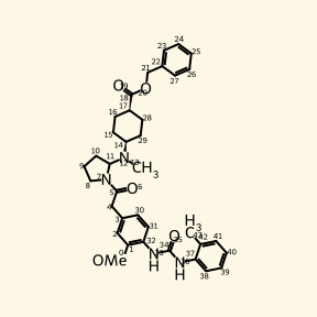 COc1cc(CC(=O)N2CCCC2N(C)[C@H]2CC[C@@H](C(=O)OCc3ccccc3)CC2)ccc1NC(=O)Nc1ccccc1C